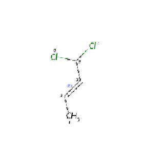 C/C=C/C(Cl)Cl